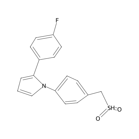 O=[SH](=O)Cc1ccc(-n2cccc2-c2ccc(F)cc2)cc1